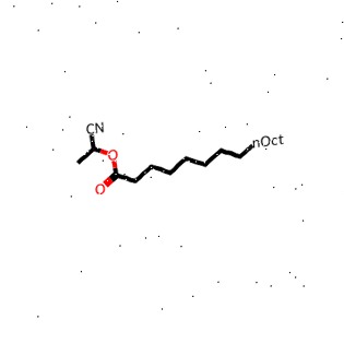 CCCCCCCCCCCCCCCC(=O)OC(C)C#N